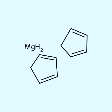 C1=CCC=C1.C1=CCC=C1.[MgH2]